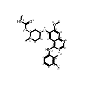 CNC(=O)O[C@H]1C[C@@H](Oc2cc3c(Nc4cccc(Cl)c4F)ncnc3cc2OC)CCN1C